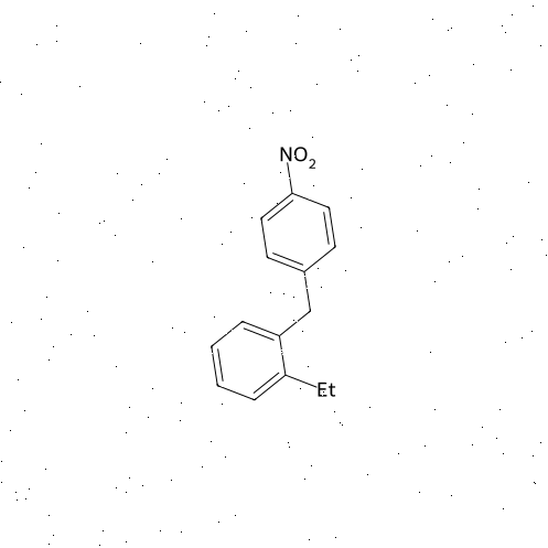 CCc1ccccc1Cc1ccc([N+](=O)[O-])cc1